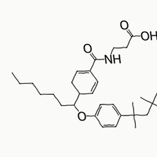 CCCCCCC(Oc1ccc(C(C)(C)CC(C)(C)C)cc1)C1C=CC(C(=O)NCCC(=O)O)=CC1